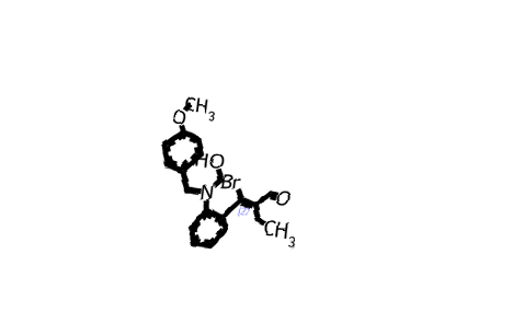 CC/C(C=O)=C(/Br)c1ccccc1N(CO)Cc1ccc(OC)cc1